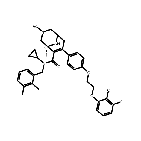 CC(=O)N1CC2CC(c3ccc(OCCOc4cccc(Cl)c4Cl)cc3)=C(C(=O)N(Cc3cccc(C)c3C)C3CC3)[C@@H](C1)N2